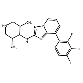 CC1CNCC(C)C1Nc1nc2c(-c3ccc(F)c(F)c3F)cccn2n1